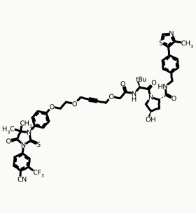 Cc1ncsc1-c1ccc(CNC(=O)[C@@H]2C[C@@H](O)CN2C(=O)[C@@H](NC(=O)COCC#CCOCCOc2ccc(N3C(=S)N(c4ccc(C#N)c(C(F)(F)F)c4)C(=O)C3(C)C)cc2)C(C)(C)C)cc1